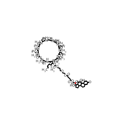 C/C=C/C[C@@H](C)C(OC(=O)O[CH]CCOCCOC(=O)CCC(=O)OCC(=O)[C@@]1(O)CCC2C3CCC4=CC(=O)C=C[C@]4(C)C3[C@@H](O)C[C@@]21C)C1C(=O)NC(CC)C(=O)N(C)CC(=O)N(C)[C@@H](CC(C)C)C(=O)NC(C(C)C)C(=O)N(C)C(CC(C)C)C(=O)NC(C)C(=O)NC(C)C(=O)N(C)C(CC(C)C)C(=O)N(C)C(CC(C)C)C(=O)N(C)C(C(C)C)C(=O)N1C